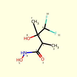 CC(C(=O)NO)C(C)(O)C(F)F